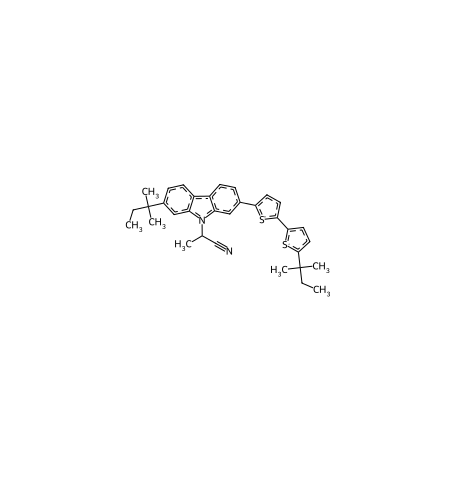 CCC(C)(C)c1ccc2c3ccc(-c4ccc(-c5ccc(C(C)(C)CC)s5)s4)cc3n(C(C)C#N)c2c1